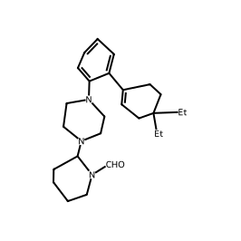 CCC1(CC)CC=C(c2ccccc2N2CCN(C3CCCCN3C=O)CC2)CC1